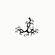 C#CC(C#N)=c1c(C(C)C)cc(=C2C(=c3cc(C(C)C)c(=C(C#N)C#N)c(C(C)C)c3)/C2=C(\C#N)C2C(F)=C(F)C(=C(C#N)C#N)C(F)=C2F)cc1C(C)C